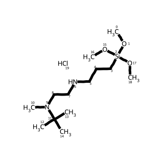 CO[Si](CCCNCCN(C)C(C)(C)C)(OC)OC.Cl